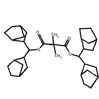 CC(C)(C(=O)OC(C1CC2CCC1C2)C1CC2CCC1C2)C(=O)OC(C1CC2CCC1C2)C1CC2CCC1C2